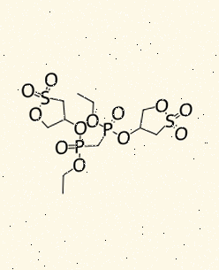 CCOP(=O)(CP(=O)(OCC)OC1COS(=O)(=O)C1)OC1COS(=O)(=O)C1